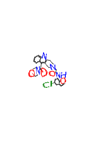 O=C(CN1CCc2nc3ccccc3c(C(=O)N3CCOCC3)c2C1)Nc1cc(Cl)cc2ccoc12